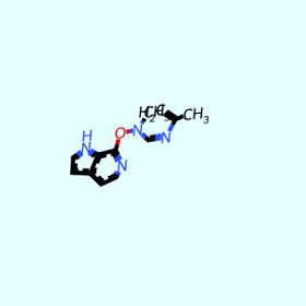 C=C(C)/N=C\N(C)Oc1nccc2cc[nH]c12